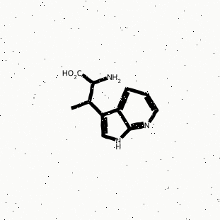 CC(c1c[nH]c2ncccc12)C(N)C(=O)O